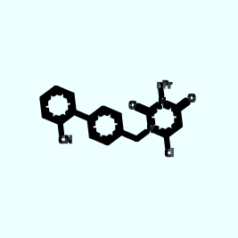 CCCn1c(=O)cc(Cl)n(Cc2ccc(-c3ccccc3C#N)cc2)c1=O